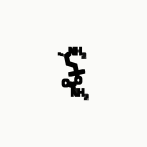 C[C@H](N)CCC(C)(C)OC(N)=O